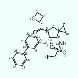 O=C([C@H]1CCO1)N1CC2(CC2)[C@H](NS(=O)(=O)CF)[C@@H]1Cc1cccc(-c2ccccc2)c1